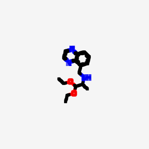 CCOC(OCC)C(C)NCc1cccc2nccnc12